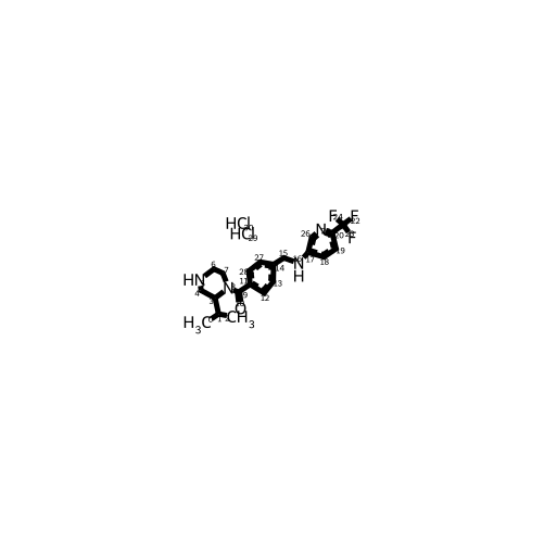 CC(C)C1CNCCN1C(=O)c1ccc(CNc2ccc(C(F)(F)F)nc2)cc1.Cl.Cl